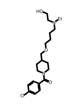 CCN(CCO)CCCCOCC1CCN(C(=O)c2ccc(Cl)cc2)CC1